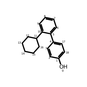 Oc1ccc(-c2ccccc2C2CCCCC2)cc1